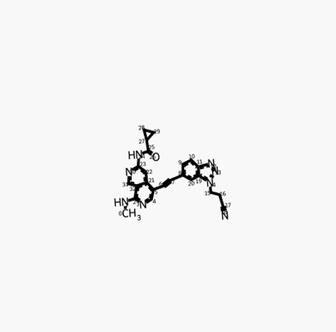 CNc1ncc(C#Cc2ccc3nnn(CCC#N)c3c2)c2cc(NC(=O)C3CC3)ncc12